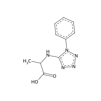 CC(Nc1nnnn1-c1ccccc1)C(=O)O